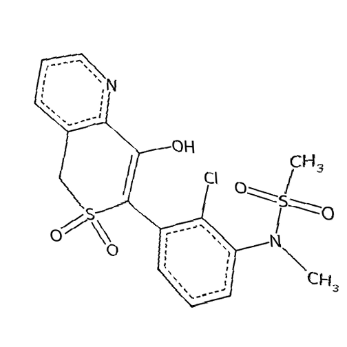 CN(c1cccc(C2=C(O)c3ncccc3CS2(=O)=O)c1Cl)S(C)(=O)=O